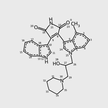 Cc1cccc2c1c(C1=C(c3c[nH]c4ccccc34)C(=O)NC1=O)cn2CC(O)CN1CCCCC1